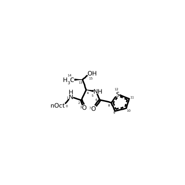 CCCCCCCCNC(=O)[C@H](NC(=O)c1cccs1)[C@@H](C)O